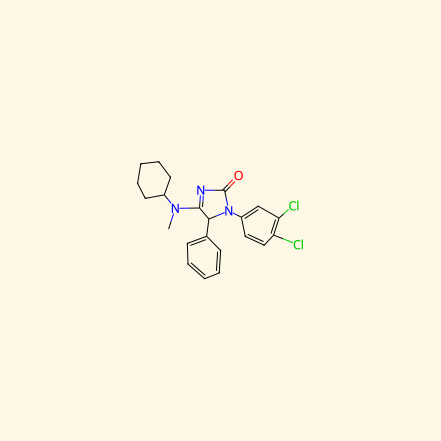 CN(C1=NC(=O)N(c2ccc(Cl)c(Cl)c2)C1c1ccccc1)C1CCCCC1